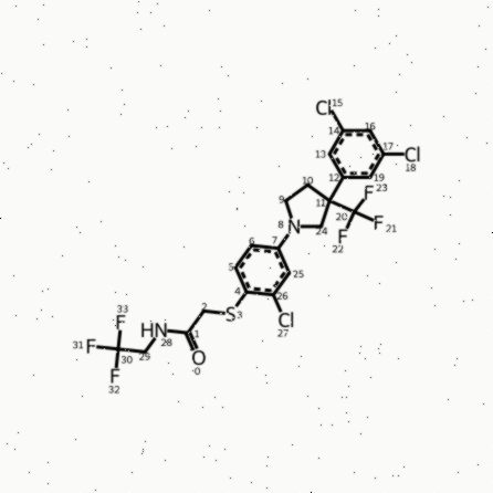 O=C(CSc1ccc(N2CCC(c3cc(Cl)cc(Cl)c3)(C(F)(F)F)C2)cc1Cl)NCC(F)(F)F